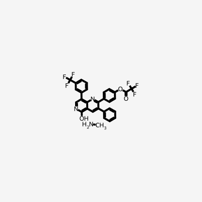 CN.O=C(Oc1ccc(-c2nc3c(-c4cccc(C(F)(F)F)c4)cnc(O)c3cc2-c2ccccc2)cc1)C(F)(F)F